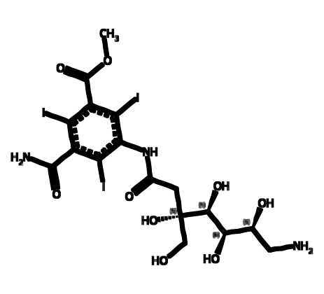 COC(=O)c1c(I)c(NC(=O)C[C@](O)(CO)[C@@H](O)[C@H](O)[C@@H](O)CN)c(I)c(C(N)=O)c1I